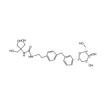 O=C(NCCc1ccc(Cc2cccc([C@H]3C[C@@H](O)[C@H](O)[C@@H](CO)O3)c2)cc1)NC(CO)(CO)CO